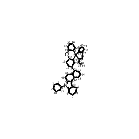 c1ccc(-n2c3ccccc3c3c4cccc(-c5ccc6c(c5)C5(c7ccccc7O6)c6ccccc6-c6ccccc65)c4ccc32)cc1